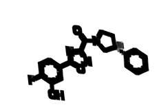 O=C(c1noc(-c2ccc(F)c(O)c2)n1)N1CC[C@H](c2ccccc2)C1